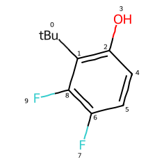 CC(C)(C)c1c(O)ccc(F)c1F